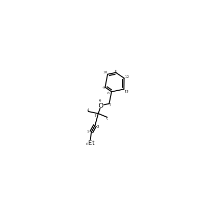 CCC#CC(C)(C)OCc1ccccc1